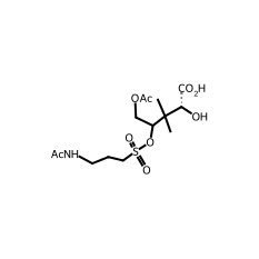 CC(=O)NCCCS(=O)(=O)OC(COC(C)=O)C(C)(C)[C@@H](O)C(=O)O